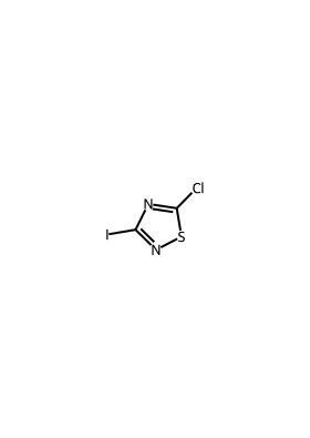 Clc1nc(I)ns1